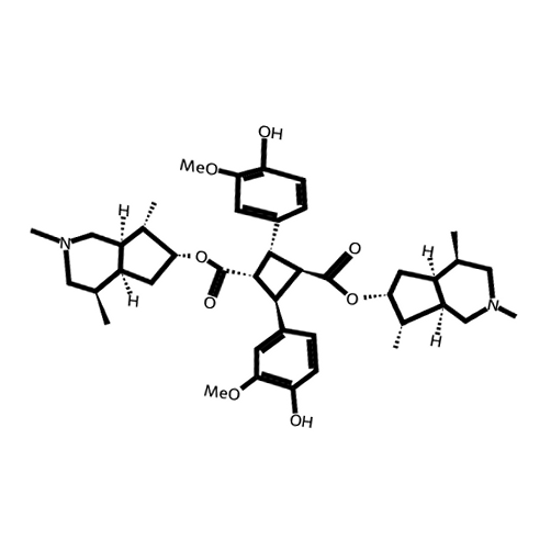 COc1cc([C@H]2[C@H](C(=O)O[C@@H]3C[C@@H]4[C@@H](CN(C)C[C@@H]4C)[C@@H]3C)[C@H](c3ccc(O)c(OC)c3)[C@H]2C(=O)O[C@@H]2C[C@@H]3[C@@H](CN(C)C[C@@H]3C)[C@@H]2C)ccc1O